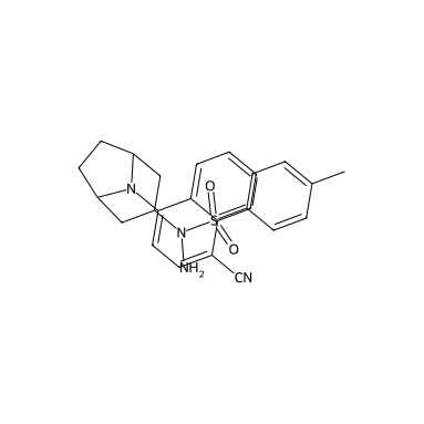 Cc1ccc(S(=O)(=O)N(N)C2CC3CCC(C2)N3c2ccc(C#N)c3ccccc23)cc1